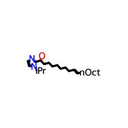 CCCCCCCCC=CCCCCCCCC(=O)c1nccn1C(C)C